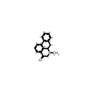 CN1CC(=O)c2cccc3c2C1Cc1ccccc1-3